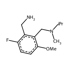 COc1ccc(F)c(CN)c1CN(C)C(C)C